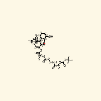 C[C@H](OC(=O)OC(C)(C)C)C(=O)NCCC(=O)O[C@@H](C)C(=O)OC1=CC[C@]2(O)C3Cc4ccc(O)c5c4[C@@]2(CCN3C)[C@H]1O5